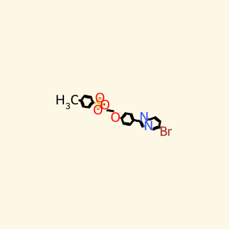 Cc1ccc(S(=O)(=O)OCCOc2ccc(-c3cn4cc(Br)ccc4n3)cc2)cc1